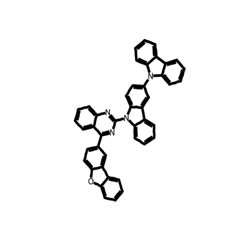 c1ccc2c(-c3ccc4oc5ccccc5c4c3)nc(-n3c4ccccc4c4cc(-n5c6ccccc6c6ccccc65)ccc43)nc2c1